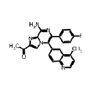 CC(=O)c1cn2c(-c3ccc4nccc(C)c4c3)c(-c3ccc(F)cc3)nc(N)c2n1